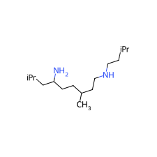 CC(C)CCNCCC(C)CCC(N)CC(C)C